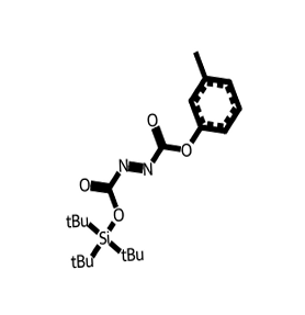 Cc1cccc(OC(=O)N=NC(=O)O[Si](C(C)(C)C)(C(C)(C)C)C(C)(C)C)c1